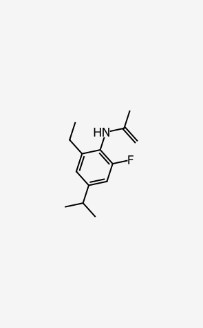 C=C(C)Nc1c(F)cc(C(C)C)cc1CC